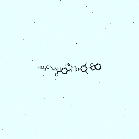 CCC(C)C(COc1cc(C)c(-c2cc3ccccc3o2)c(C)c1)Nc1ccc(C(=O)NCCC(=O)O)cc1